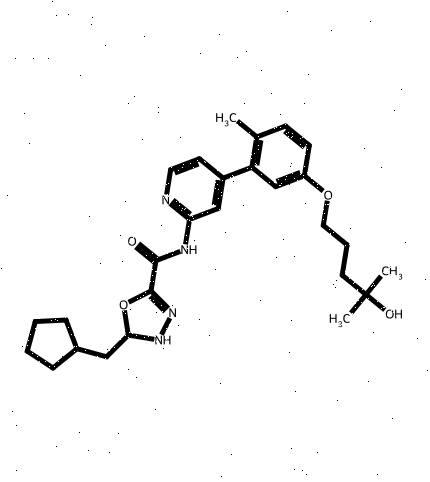 Cc1ccc(OCCCC(C)(C)O)cc1-c1ccnc(NC(=O)C2=NNC(CC3CCCC3)O2)c1